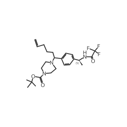 C=CCCCC(c1ccc([C@H](C)NC(=O)C(F)(F)F)cc1)N1CCN(C(=O)OC(C)(C)C)CC1